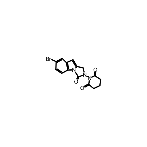 O=C1CCCC(=O)N1N1Cc2cc3cc(Br)ccc3n2C1=O